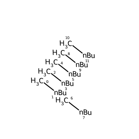 CCCCC.CCCCC.CCCCC.CCCCC.CCCCC.CCCCC